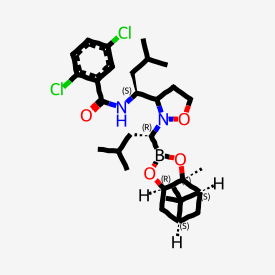 CC(C)C[C@H](NC(=O)c1cc(Cl)ccc1Cl)C1CCON1[C@@H](CC(C)C)B1O[C@@H]2C[C@@H]3C[C@@H](C3(C)C)[C@]2(C)O1